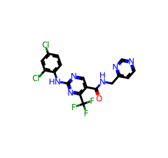 O=C(NCc1ccncn1)c1cnc(Nc2ccc(Cl)cc2Cl)nc1C(F)(F)F